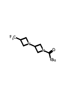 CC(C)(C)C(=O)N1CC(N2CC(C(F)(F)F)C2)C1